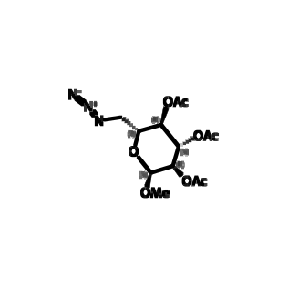 CO[C@H]1O[C@H](CN=[N+]=[N-])[C@@H](OC(C)=O)[C@H](OC(C)=O)[C@H]1OC(C)=O